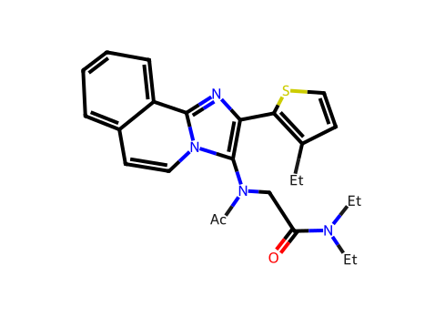 CCc1ccsc1-c1nc2c3ccccc3ccn2c1N(CC(=O)N(CC)CC)C(C)=O